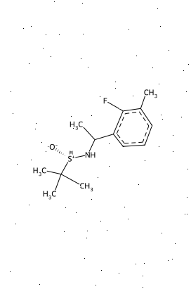 Cc1cccc(C(C)N[S@@+]([O-])C(C)(C)C)c1F